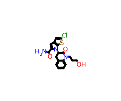 NC(=O)c1cc2cc(Cl)sc2n1C1Cc2ccccc2N(CCCO)C1=O